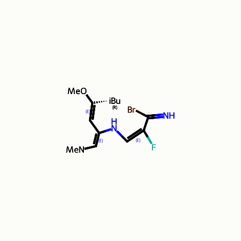 CC[C@@H](C)/C(=C\C(=C/NC)N/C=C(/F)C(=N)Br)OC